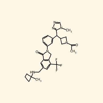 CC(=O)N1CC(C(c2cccc(N3Cc4c(cc(CNC5(C)CCC5)cc4C(F)(F)F)C3=O)c2)c2nncn2C)C1